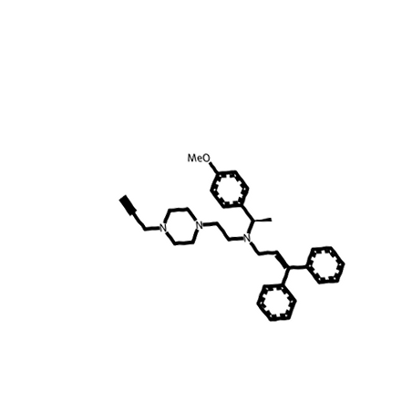 C#CCN1CCN(CCN(CC=C(c2ccccc2)c2ccccc2)[C@H](C)c2ccc(OC)cc2)CC1